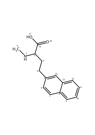 CNC(CCc1ccc2ccccc2c1)C(=O)O